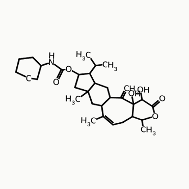 C=C1C2CC3C(C(C)C)C(OC(=O)NC4CCCCC4)CC3(C)CC2C(C)=CCC2C(C)OC(=O)C(O)C12O